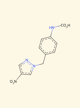 O=C(O)Nc1ccc(Cn2cc([N+](=O)[O-])cn2)cc1